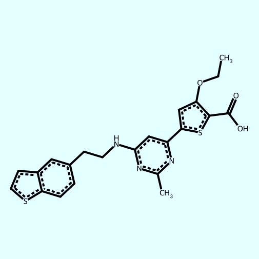 CCOc1cc(-c2cc(NCCc3ccc4sccc4c3)nc(C)n2)sc1C(=O)O